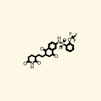 O=C1CCC(CCC2CC(=O)c3cc(NS(=O)(=O)c4ccccc4OC(F)(F)F)ccc3C2=O)C(=O)N1